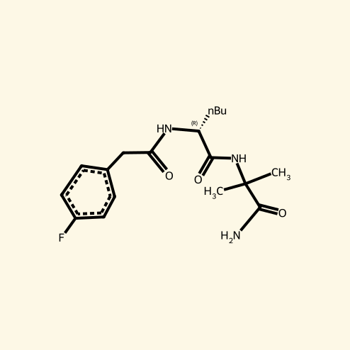 CCCC[C@@H](NC(=O)Cc1ccc(F)cc1)C(=O)NC(C)(C)C(N)=O